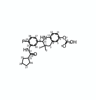 CC1(C)Cc2cc(OC(=O)O)ccc2NC1c1ccc(F)c(NC(=O)C2CCCC2)c1